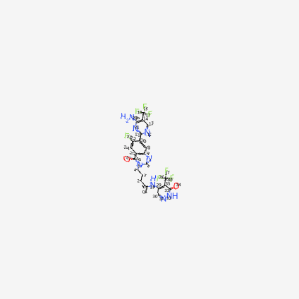 C[C@@H](CCCn1cnc2cc(-c3ncc(C(F)(F)F)c(N)n3)c(F)cc2c1=O)Nc1cn[nH]c(=O)c1C(F)(F)F